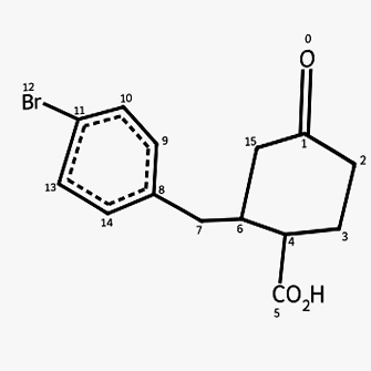 O=C1CCC(C(=O)O)C(Cc2ccc(Br)cc2)C1